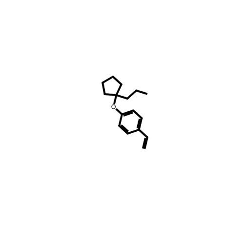 C=Cc1ccc(OC2(CCC)CCCC2)cc1